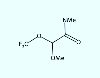 CNC(=O)C(OC)OC(F)(F)F